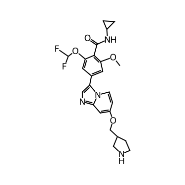 COc1cc(-c2cnc3cc(OCC4CCNC4)ccn23)cc(OC(F)F)c1C(=O)NC1CC1